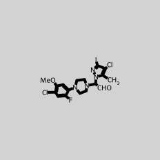 COc1cc(N2CCN(C(C=O)n3nc(I)c(Cl)c3C)CC2)c(F)cc1Cl